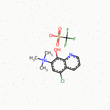 C[N+](C)(C)c1cc(Cl)c2cccnc2c1O.O=S(=O)([O-])C(F)(F)F